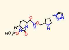 O=C(NOC[C@H]1C[C@H](Cn2ccnn2)CN1)[C@@H]1CC[C@@H]2CN1C(=O)N2OS(=O)(=O)O